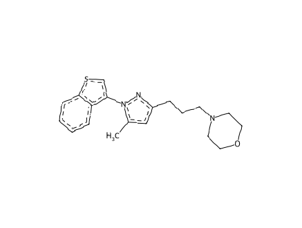 Cc1cc(CCCN2CCOCC2)nn1-c1csc2ccccc12